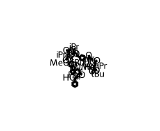 CC[C@H](C)[C@@H]([C@@H](CC(=O)N1CCCC1[C@H](OC)[C@@H](C)C(=O)N[C@H](C)[C@@H](O)c1ccccc1)OC)N(C)C(=O)[C@@H](NC(=O)[C@H](C(C)C)N(C)C(=O)OCc1ccc(NC(=O)[C@H](C)NC(=O)[C@@H](NC(=O)OC(C)(C)C)C(C)C)cc1)C(C)C